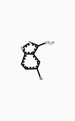 O=C(O)c1nsc2ccc(Br)cc12